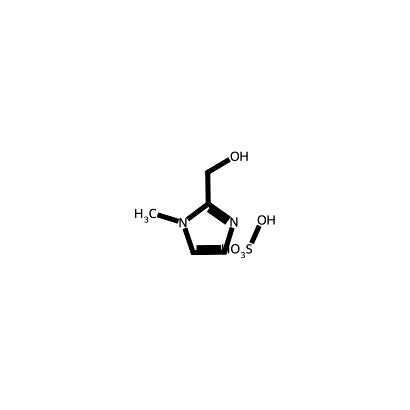 Cn1ccnc1CO.O=S(=O)(O)O